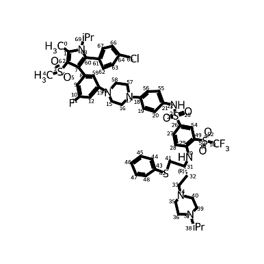 Cc1c(S(C)(=O)=O)c(-c2cc(F)cc(N3CCN(c4ccc(NS(=O)(=O)c5ccc(N[C@H](CCN6CCN(C(C)C)CC6)CSc6ccccc6)c(S(=O)(=O)C(F)(F)F)c5)cc4)CC3)c2)c(-c2ccc(Cl)cc2)n1C(C)C